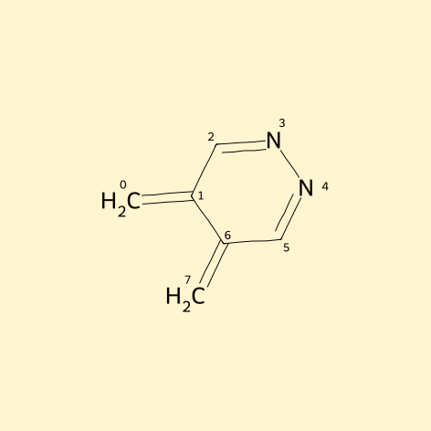 C=c1cnncc1=C